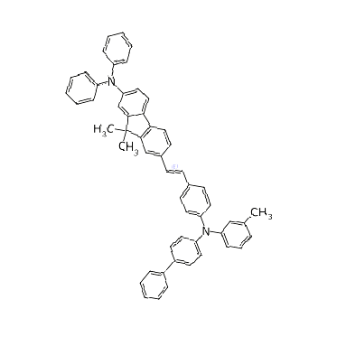 Cc1cccc(N(c2ccc(/C=C/c3ccc4c(c3)C(C)(C)c3cc(N(c5ccccc5)c5ccccc5)ccc3-4)cc2)c2ccc(-c3ccccc3)cc2)c1